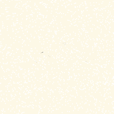 O=C(O)NCCCC[C@H](NC(=O)[C@@H]1Cc2ccccc2CN1C(=O)CCC(=O)c1ccccc1)C(=O)NCC(c1ccccc1)c1ccccc1